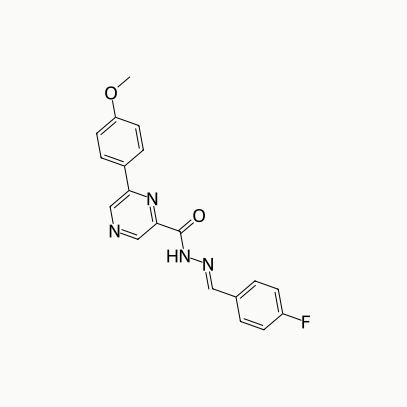 COc1ccc(-c2cncc(C(=O)N/N=C/c3ccc(F)cc3)n2)cc1